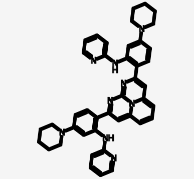 C1=CC2=CC(c3ccc(N4CCCCC4)cc3Nc3ccccn3)=NC3=NC(c4ccc(N5CCCCC5)cc4Nc4ccccn4)=CC(=C1)N23